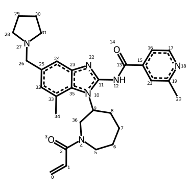 C=CC(=O)N1CCCCC(n2c(NC(=O)c3ccnc(C)c3)nc3cc(CN4CCCC4)cc(C)c32)C1